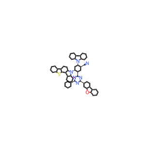 N#Cc1cc(-c2nc(-c3ccccc3)nc(-c3ccc4c(c3)oc3ccccc34)n2)c(-n2c3ccccc3c3c4sc5ccccc5c4ccc32)cc1-n1c2ccccc2c2ccccc21